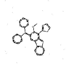 COc1c(C2=CC=CC2)c2c(cc1=C(c1ccccc1)c1ccccc1)-c1ccccc1[C]=2